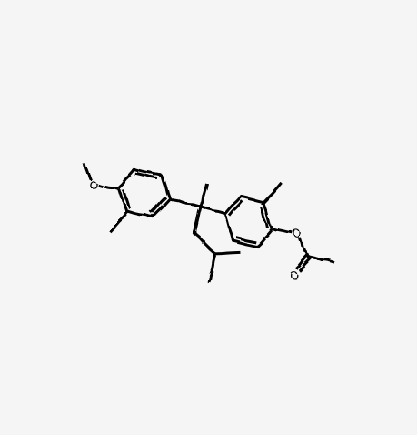 COc1ccc(C(C)(CC(C)C)c2ccc(OC(C)=O)c(C)c2)cc1C